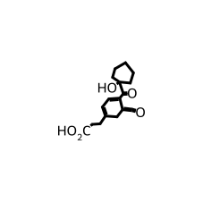 O=C=C1CC(CCC(=O)O)=CC=C1C(=O)C1(O)CCCCC1